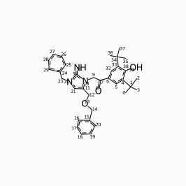 CC(C)(C)c1cc(C(=O)Cn2c(COCc3ccccc3)cn(Cc3ccccc3)c2=N)cc(C(C)(C)C)c1O